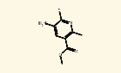 COC(=O)c1cc(N)c(Cl)nc1C